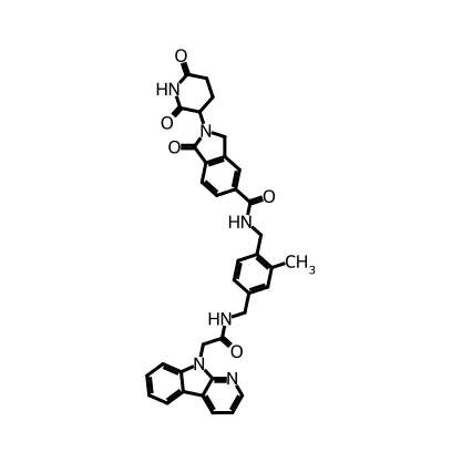 Cc1cc(CNC(=O)Cn2c3ccccc3c3cccnc32)ccc1CNC(=O)c1ccc2c(c1)CN(C1CCC(=O)NC1=O)C2=O